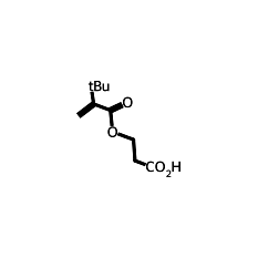 C=C(C(=O)OCCC(=O)O)C(C)(C)C